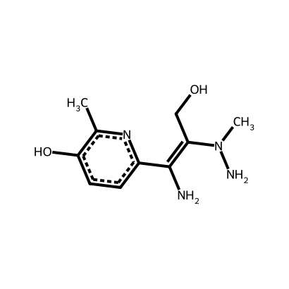 Cc1nc(/C(N)=C(\CO)N(C)N)ccc1O